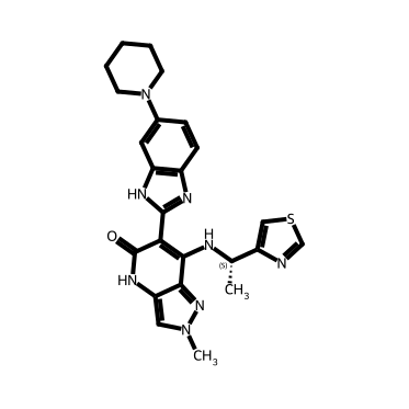 C[C@H](Nc1c(-c2nc3ccc(N4CCCCC4)cc3[nH]2)c(=O)[nH]c2cn(C)nc12)c1cscn1